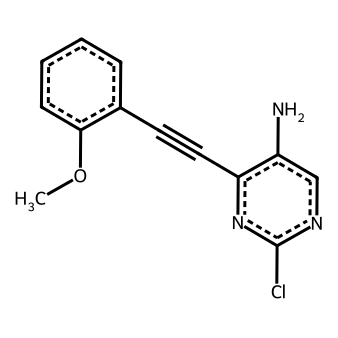 COc1ccccc1C#Cc1nc(Cl)ncc1N